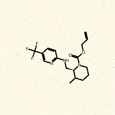 C=CCOC(=O)N1CCCC(C)[C@H]1CNc1ccc(C(F)(F)F)cn1